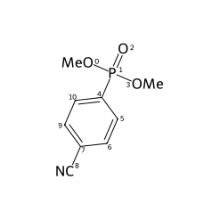 COP(=O)(OC)c1ccc(C#N)cc1